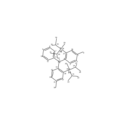 Cc1ccc(N(c2ccccc2)c2ccc(C)cc2[PH](C)(C(C)C)C(C)C)c([PH](C)(C(C)C)C(C)C)c1